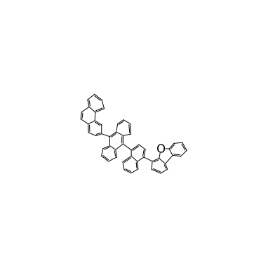 c1ccc2c(c1)ccc1ccc(-c3c4ccccc4c(-c4ccc(-c5cccc6c5oc5ccccc56)c5ccccc45)c4ccccc34)cc12